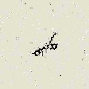 O=C(N[C@@H](Cc1ccc(F)cc1)C(=O)NCCCCO)c1cc2cc(Cl)cnc2[nH]1